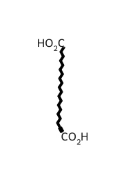 O=C(O)C#CCCCCCCCCCCCCCCCCCCC(=O)O